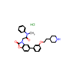 CN(C(=O)Cn1c(=O)oc2ccc(-c3cccc(OCCC4CCNCC4)c3)cc21)c1ccccc1.Cl